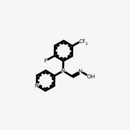 ON=CN(c1ccncc1)c1cc(C(F)(F)F)ccc1F